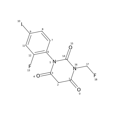 O=C1CC(=O)N(c2ccc(I)cc2F)C(=O)N1CF